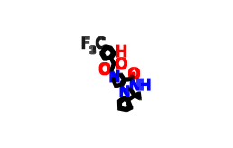 O=C(C(O)c1ccc(C(F)(F)F)cc1)N1CCc2nc(C3(c4ccccc4)CC3)[nH]c(=O)c2C1